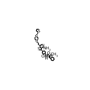 COc1cc(-c2csc3c(/C=C/CN4CCN(CCc5cccs5)CC4)cnc(N)c23)ccc1NC(=O)c1cc2ccccc2n1C